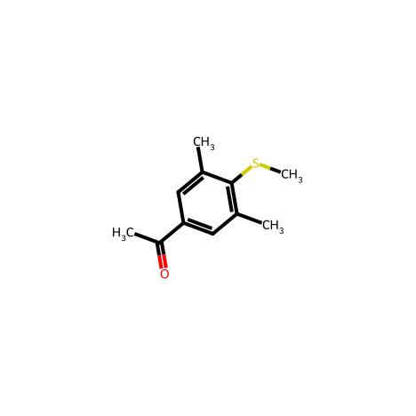 CSc1c(C)cc(C(C)=O)cc1C